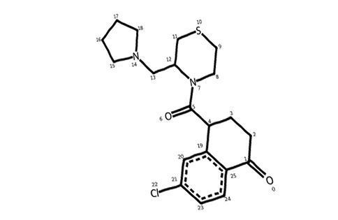 O=C1CCC(C(=O)N2CCSCC2CN2CCCC2)c2cc(Cl)ccc21